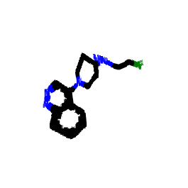 FCCNC1CCN(c2cnnc3ccccc23)CC1